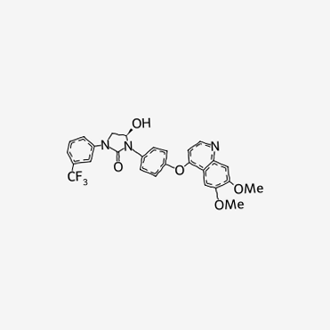 COc1cc2nccc(Oc3ccc(N4C(=O)N(c5cccc(C(F)(F)F)c5)C[C@H]4O)cc3)c2cc1OC